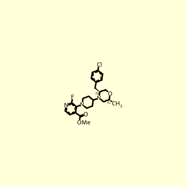 COC(=O)c1ccnc(F)c1N1CCC(N2C[C@H](C)OC[C@@H]2Cc2ccc(Cl)cc2)CC1